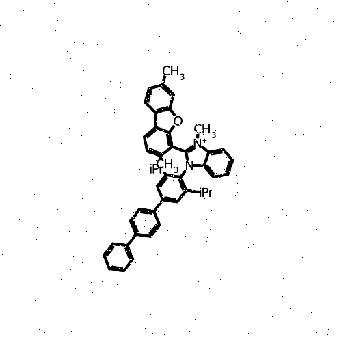 Cc1ccc2c(c1)oc1c(-c3n(-c4c(C(C)C)cc(-c5ccc(-c6ccccc6)cc5)cc4C(C)C)c4ccccc4[n+]3C)c(C)ccc12